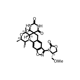 COC[C@H]1COC(=O)N1c1noc2cc3c(cc12)CC1(C(=O)NC(=O)NC1=O)[C@H]1[C@H](C)O[C@H](C)C(F)N31